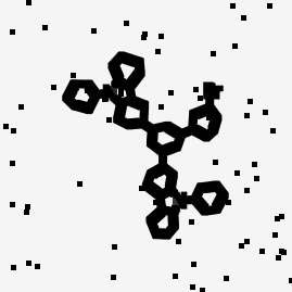 Brc1cccc(-c2cc(-c3ccc4c(c3)c3ccccc3n4-c3ccccc3)cc(-c3ccc4c5ccccc5n(-c5ccccc5)c4c3)c2)c1